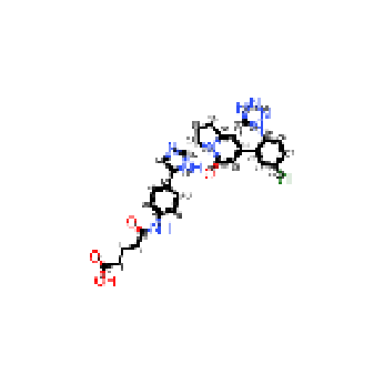 O=C(O)CCCC(=O)Nc1ccc(-c2cnc([C@@H]3CCc4cc(-c5cc(Cl)ccc5-n5cnnn5)cc(=O)n43)[nH]2)cc1